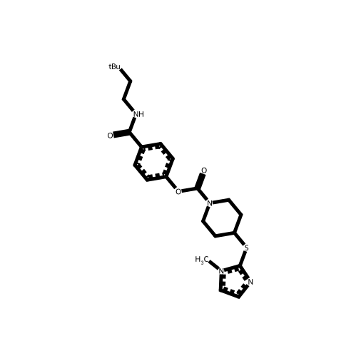 Cn1ccnc1SC1CCN(C(=O)Oc2ccc(C(=O)NCCC(C)(C)C)cc2)CC1